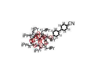 CC(C)C[Si]12O[Si]3(CCCOc4ccc(-c5ccc(C#N)cc5)cc4)O[Si]4(CC(C)C)O[Si](CC(C)C)(O1)O[Si]1(CC(C)C)O[Si](CC(C)C)(O2)O[Si](CC(C)C)(O3)O[Si](CC(C)C)(O4)O1